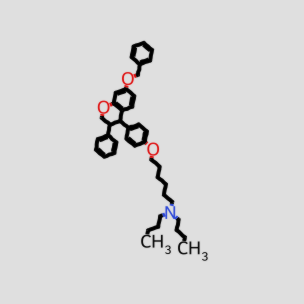 CCCCN(CCCC)CCCCCCOc1ccc(C2c3ccc(OCc4ccccc4)cc3OCC2c2ccccc2)cc1